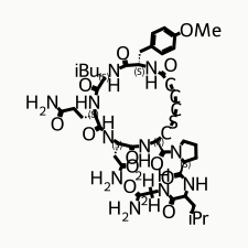 [2H]C([2H])(NC(=O)C(CC(C)C)NC(=O)[C@@H]1CCCN1C(=O)[C@@H]1CSCCCC(=O)N[C@@H](Cc2ccc(OC)cc2)C(=O)N[C@@H](C(C)CC)C(=O)N[C@@H](CCC(N)=O)C(=O)N[C@@H](CC(N)=O)C(=O)N1)C(N)=O